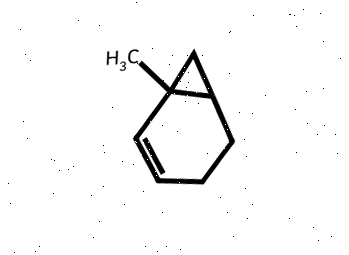 CC12C=CCCC1C2